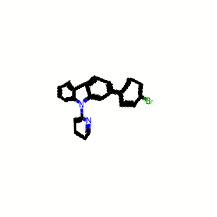 Brc1ccc(-c2ccc3c4ccccc4n(-c4ccccn4)c3c2)cc1